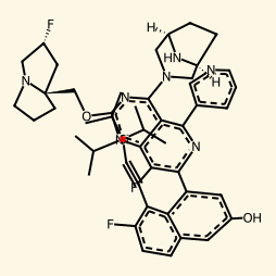 CC(C)[Si](C#Cc1c(F)ccc2cc(O)cc(-c3nc(-c4cccnc4)c4c(N5C[C@H]6CC[C@@H](C5)N6)nc(OC[C@@]56CCCN5C[C@H](F)C6)nc4c3F)c12)(C(C)C)C(C)C